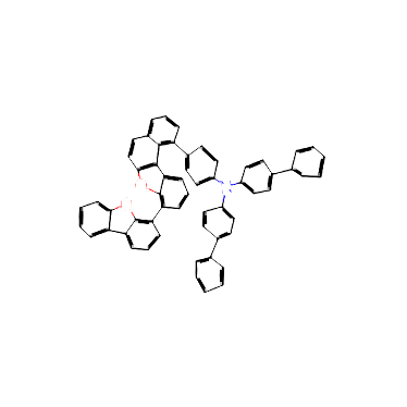 c1ccc(-c2ccc(N(c3ccc(-c4ccccc4)cc3)c3ccc(-c4cccc5ccc6oc7c(-c8cccc9c8oc8ccccc89)cccc7c6c45)cc3)cc2)cc1